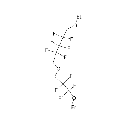 CCOCC(F)(F)C(F)(F)C(F)(F)COCC(F)(F)C(F)(F)OC(C)C